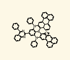 C1=CC2C3=C(C=C4c5cccc6cccc(c56)C(=C1)C42)N(c1ccccc1)c1cc(-c2nc(-c4ccccc4)c4ccccc4n2)cc2c1B3c1c(cc3c4cccc5cccc(c6cccc1c63)c54)N2c1ccccc1